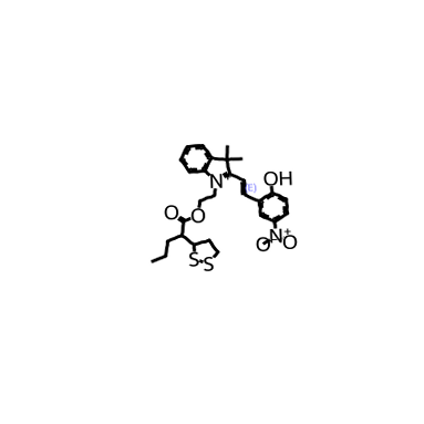 CCCC(C(=O)OCC[N+]1=C(/C=C/c2cc([N+](=O)[O-])ccc2O)C(C)(C)c2ccccc21)C1CCSS1